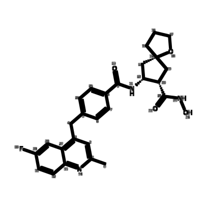 Cc1cc(Cc2ccc(C(=O)N[C@@H]3C[C@@]4(CCCO4)C[C@@H]3C(=O)NO)cc2)c2cc(F)ccc2n1